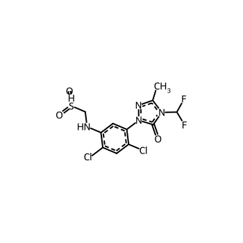 Cc1nn(-c2cc(NC[SH](=O)=O)c(Cl)cc2Cl)c(=O)n1C(F)F